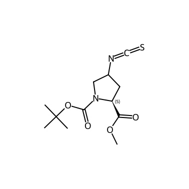 COC(=O)[C@@H]1CC(N=C=S)CN1C(=O)OC(C)(C)C